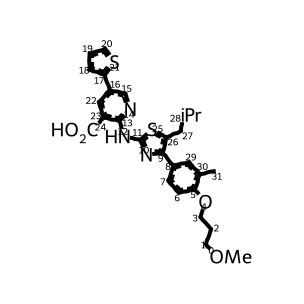 COCCCOc1ccc(-c2nc(Nc3ncc(-c4cccs4)cc3C(=O)O)sc2CC(C)C)cc1C